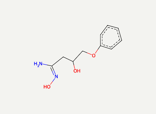 NC(CC(O)COc1ccccc1)=NO